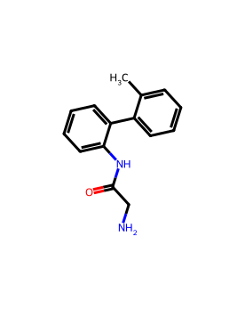 Cc1ccccc1-c1ccccc1NC(=O)CN